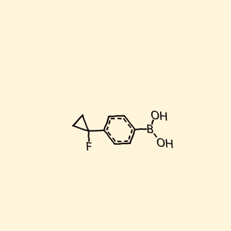 OB(O)c1ccc(C2(F)CC2)cc1